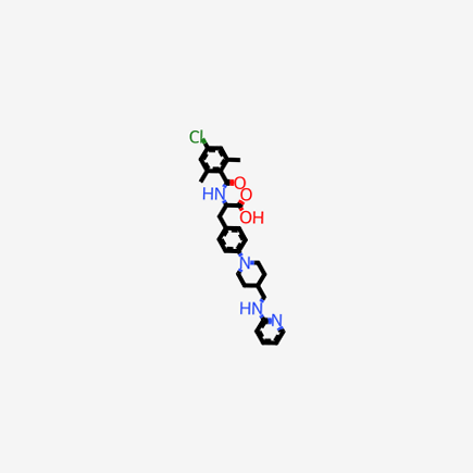 Cc1cc(Cl)cc(C)c1C(=O)NC(Cc1ccc(N2CCC(CNc3ccccn3)CC2)cc1)C(=O)O